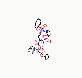 CCC(NC(=O)Oc1ccccc1)OC(=O)C(CCCNC(=O)Oc1ccccc1)NC(O)Oc1ccccc1